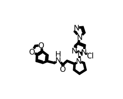 O=C(CC1CCCCN1N1N=CC(n2ccnc2)=CN1Cl)NCc1ccc2c(c1)OCO2